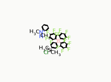 C[NH+](C)c1ccccc1.C[Si](C)(Cl)c1ccc([B-](c2c(F)c(F)c(F)c(F)c2F)(c2c(F)c(F)c(F)c(F)c2F)c2c(F)c(F)c(F)c(F)c2F)cc1